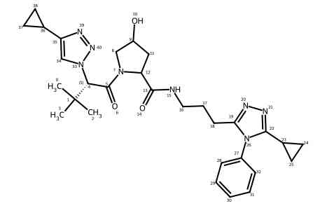 CC(C)(C)[C@@H](C(=O)N1CC(O)CC1C(=O)NCCCc1nnc(C2CC2)n1-c1ccccc1)n1cc(C2CC2)nn1